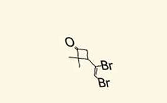 CC1(C)C(=O)CC1C(Br)=CBr